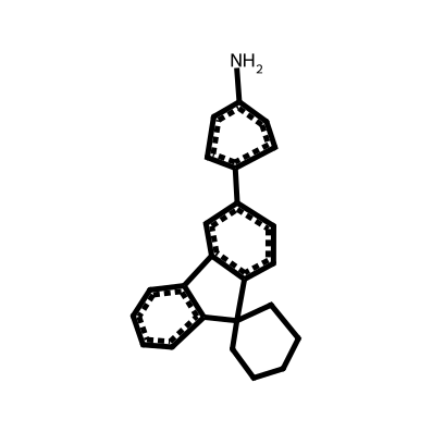 Nc1ccc(-c2ccc3c(c2)-c2ccccc2C32CCCCC2)cc1